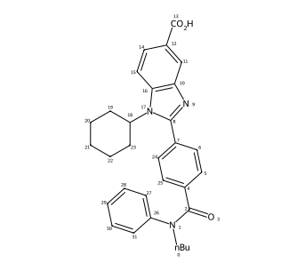 CCCCN(C(=O)c1ccc(-c2nc3cc(C(=O)O)ccc3n2C2CCCCC2)cc1)c1ccccc1